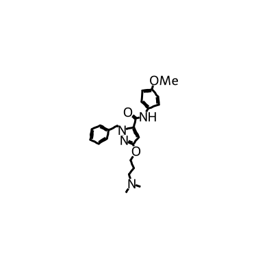 COc1ccc(NC(=O)c2cc(OCCCN(C)C)nn2Cc2ccccc2)cc1